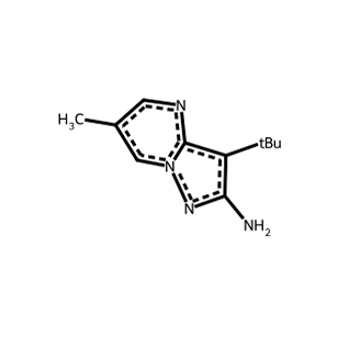 Cc1cnc2c(C(C)(C)C)c(N)nn2c1